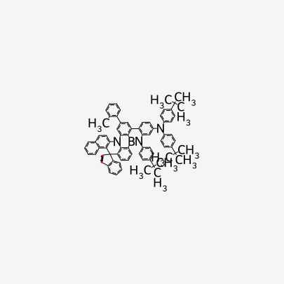 Cc1ccccc1-c1cc2c3c(c1)N1c4ccc5ccccc5c4C4(c5ccccc5-c5ccccc54)c4cccc(c41)B3N(c1ccc(C(C)(C)C)cc1)c1cc(N(c3ccc(C(C)(C)C)cc3)c3ccc(C(C)(C)C)cc3)ccc1-2